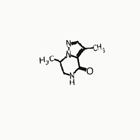 Cc1cnn2c1C(=O)NCC2C